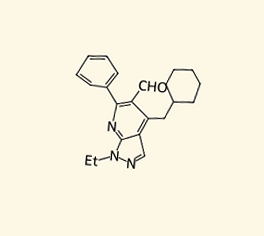 CCn1ncc2c(CC3CCCCC3)c(C=O)c(-c3ccccc3)nc21